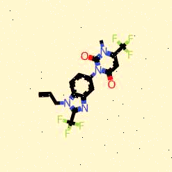 C=CCn1c(C(F)(F)F)nc2cc(-n3c(=O)cc(C(F)(F)F)n(C)c3=O)ccc21